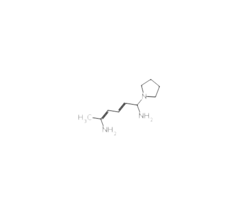 C/C(N)=C/C=CC(N)N1CCCC1